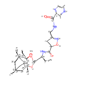 CC(C)C[C@H](NC(=O)C1CC(CNC(=O)c2cnccn2)=NO1)B1O[C@@H]2C[C@@H]3C[C@@H](C3(C)C)[C@]2(C)O1